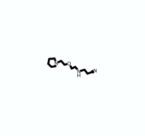 N#CCCNCCOCCN1CCCCC1